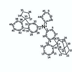 c1ccc(N(c2ccc3c(c2)-c2ccccc2C32C3CC4CC(C3)CC2C4)c2ccc3c(c2)C2(CCCC2)c2ccccc2-3)cc1